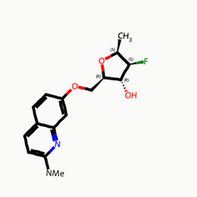 CNc1ccc2ccc(OC[C@H]3O[C@@H](C)[C@@H](F)[C@@H]3O)cc2n1